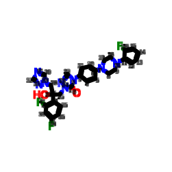 O=c1n(-c2ccc(N3CCN(c4ccccc4F)CC3)cc2)cnn1CC(O)(Cn1cncn1)c1ccc(F)cc1F